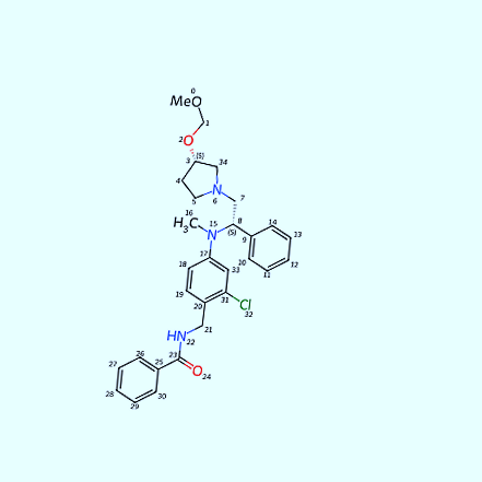 COCO[C@H]1CCN(C[C@H](c2ccccc2)N(C)c2ccc(CNC(=O)c3ccccc3)c(Cl)c2)C1